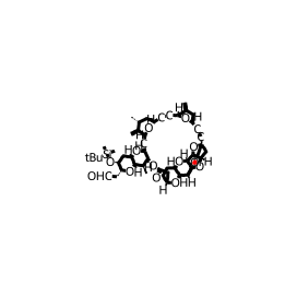 C=C1C[C@@H]2CC[C@@]34C[C@@H]5OC6[C@@H](O[C@H]7CC[C@H](CC(=O)O[C@@H]8[C@@H](C)[C@@H]9O[C@H](CC=O)[C@H](O[Si](C)(C)C(C)(C)C)C[C@@H]9O[C@H]8C[C@H]8O[C@@H](CC[C@@H]1O2)C[C@@H](C)C8=C)O[C@@H]7[C@@H]6O3)[C@H]5O4